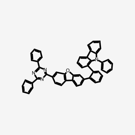 c1ccc(-c2nc(-c3ccccc3)nc(-c3ccc4c(c3)oc3cc(-c5ccccc5-c5cccc6c7ccccc7n(-c7ccccc7)c56)ccc34)n2)cc1